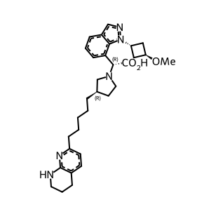 CO[C@H]1C[C@H](n2ncc3cccc([C@H](C(=O)O)N4CC[C@@H](CCCCCc5ccc6c(n5)NCCC6)C4)c32)C1